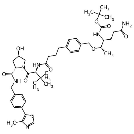 Cc1ncsc1-c1ccc(CNC(=O)[C@@H]2C[C@@H](O)CN2C(=O)[C@@H](NC(=O)CCCc2ccc(CO[C@H](C)[C@H](CCC(N)=O)NC(=O)OC(C)(C)C)cc2)C(C)(C)C)cc1